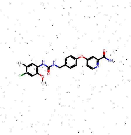 COc1cc(Cl)c(C)cc1NC(=O)NCc1ccc(Oc2ccnc(C(N)=O)c2)cc1